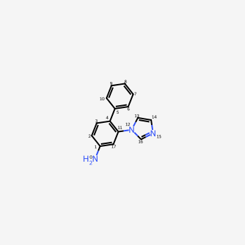 Nc1ccc(-c2ccccc2)c(-n2ccnc2)c1